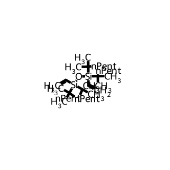 C=C[Si](O[Si](C=C)(C(C)(C)CCCCC)C(C)(C)CCCCC)(C(C)(C)CCCCC)C(C)(C)CCCCC